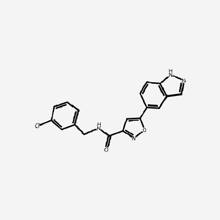 O=C(NCc1cccc(Cl)c1)c1cc(-c2ccc3[nH]ncc3c2)on1